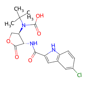 CC(C)(C)N(C(=O)O)[C@@H]1COC(=O)[C@H]1NC(=O)c1cc2cc(Cl)ccc2[nH]1